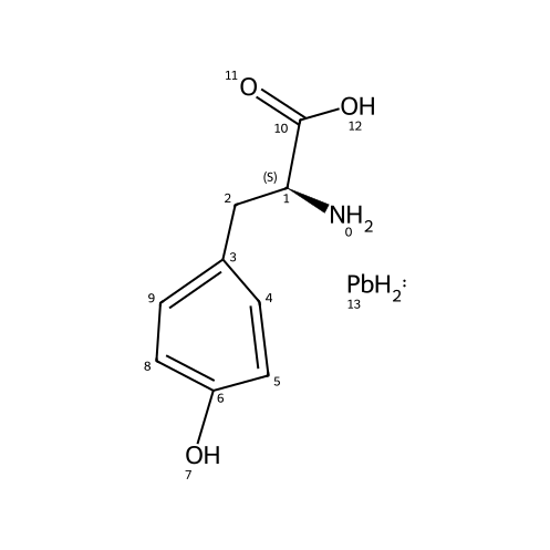 N[C@@H](Cc1ccc(O)cc1)C(=O)O.[PbH2]